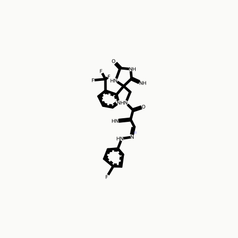 N=C(/C=N\Nc1ccc(F)cc1)C(=O)NCC1(c2ncccc2C(F)(F)F)NC(=O)NC1=N